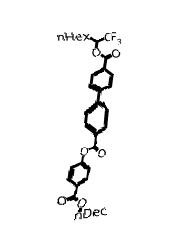 CCCCCCCCCCOC(=O)c1ccc(OC(=O)c2ccc(-c3ccc(C(=O)OC(CCCCCC)C(F)(F)F)cc3)cc2)cc1